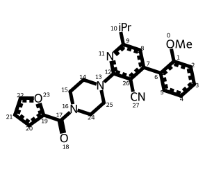 COc1ccccc1-c1cc(C(C)C)nc(N2CCN(C(=O)c3ccco3)CC2)c1C#N